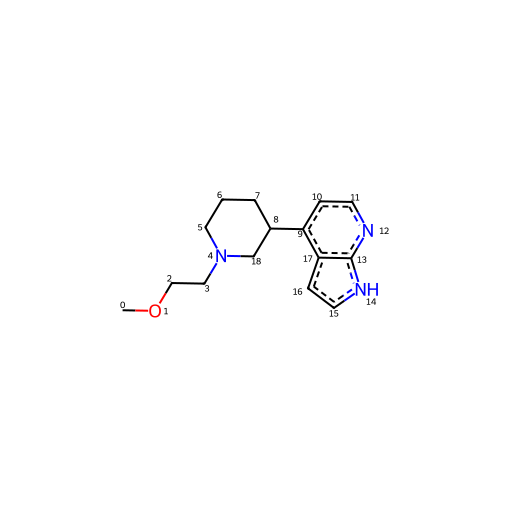 COCCN1CCCC(c2ccnc3[nH]ccc23)C1